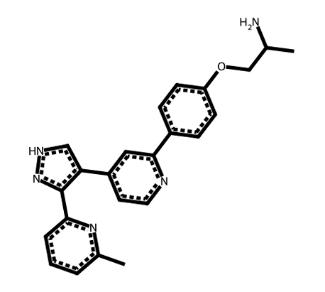 Cc1cccc(-c2n[nH]cc2-c2ccnc(-c3ccc(OCC(C)N)cc3)c2)n1